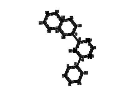 c1ccc(-c2ncnc(-c3ccc4ccccc4c3)n2)cc1